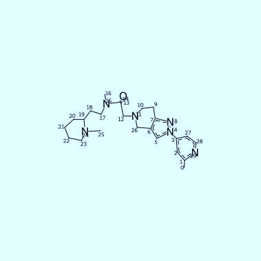 Cc1cc(-n2cc3c(n2)CCN(CC(=O)N(C)CCC2CCCCN2C)C3)ccn1